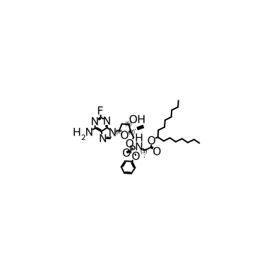 C#C[C@]1(COP(=O)(N[C@@H](C)C(=O)OC(CCCCCCC)CCCCCCC)Oc2ccccc2)O[C@@H](n2cnc3c(N)nc(F)nc32)C[C@@H]1O